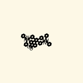 O=c1c(=O)c2cccc3c4c(-c5cccc(-c6nc(-c7ccccc7)nc(-c7ccccc7)n6)c5)c(-c5ccccc5)cc(-c5cccc(-c6nc(-c7ccccc7)nc(-c7ccccc7)n6)c5)c4c4cccc1c4c23